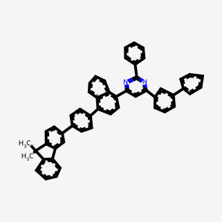 CC1(C)c2ccccc2-c2cc(-c3ccc(-c4ccc(-c5cc(-c6cccc(-c7ccccc7)c6)nc(-c6ccccc6)n5)c5ccccc45)cc3)ccc21